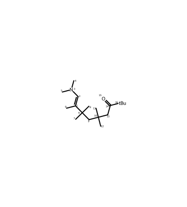 C/C(=C\N(C)C)C(C)(C)CC(C)(C)CC(=O)C(C)(C)C